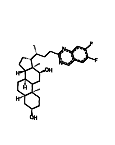 C[C@H](CCc1ncc2cc(F)c(F)cc2n1)[C@H]1CC[C@H]2[C@@H]3CC[C@@H]4C[C@H](O)CC[C@]4(C)C3C[C@H](O)[C@]12C